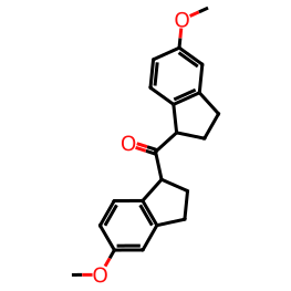 COc1ccc2c(c1)CCC2C(=O)C1CCc2cc(OC)ccc21